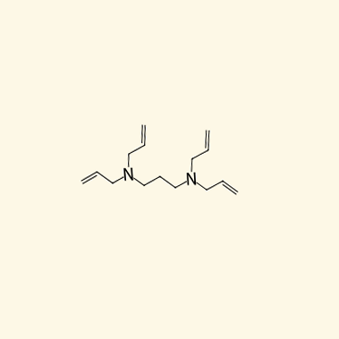 C=CCN(CC=C)CCCN(CC=C)CC=C